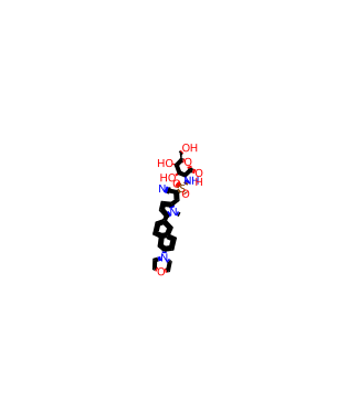 Cn1c(/C=C(\C#N)S(=O)(=O)N[C@H]2C(O)O[C@H](CO)[C@@H](O)[C@@H]2O)ccc1-c1ccc2cc(N3CCOCC3)ccc2c1